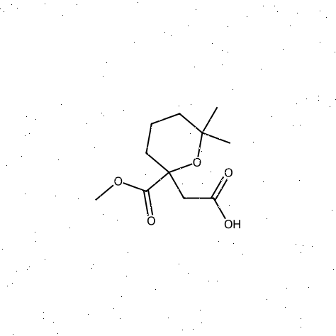 COC(=O)C1(CC(=O)O)CCCC(C)(C)O1